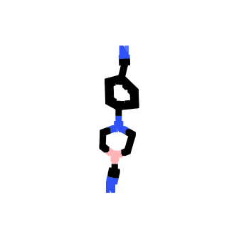 N#CB1CCN(c2ccc(C#N)cc2)CC1